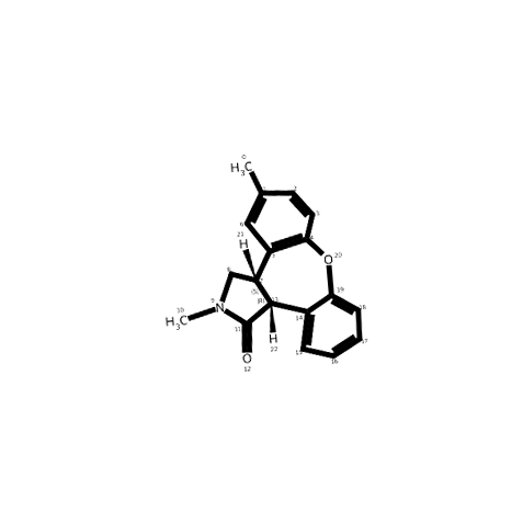 Cc1ccc2c(c1)[C@H]1CN(C)C(=O)[C@H]1c1ccccc1O2